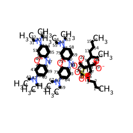 CCCCC(CC)CC(CC(CC)CCCC)(C(=O)[O-])C(C(=O)[O-])S(=O)(=O)O.CCN(CC)c1ccc2nc3ccc(N(CC)CC)cc3[o+]c2c1.CCN(CC)c1ccc2nc3ccc(N(CC)CC)cc3[o+]c2c1